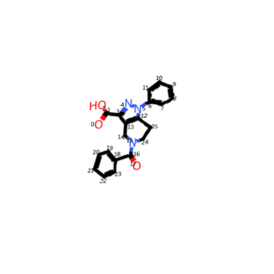 O=C(O)c1nn(-c2ccccc2)c2c1CN(C(=O)c1ccccc1)CC2